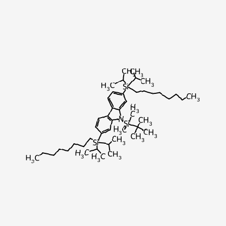 CCCCCCCC[Si](c1ccc2c3ccc([Si](CCCCCCCC)(C(C)C)C(C)C)cc3n([Si](C)(C)C(C)(C)C)c2c1)(C(C)C)C(C)C